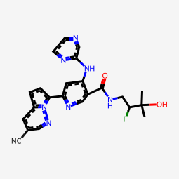 CC(C)(O)C(F)CNC(=O)c1cnc(-c2ccc3cc(C#N)cnn23)cc1Nc1cnccn1